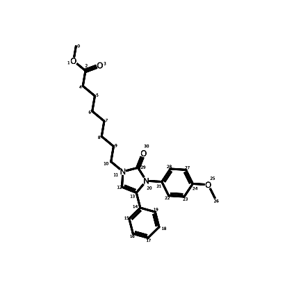 COC(=O)CCCCCCCn1cc(-c2ccccc2)n(-c2ccc(OC)cc2)c1=O